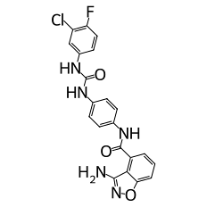 Nc1noc2cccc(C(=O)Nc3ccc(NC(=O)Nc4ccc(F)c(Cl)c4)cc3)c12